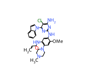 C=CC(=O)Nc1cc(Nc2nc(N)c(Cl)c(-n3ccc4ccccc43)n2)c(OC)cc1N1CCN(C)CC1